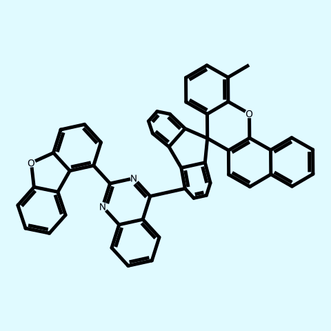 Cc1cccc2c1Oc1c(ccc3ccccc13)C21c2ccccc2-c2c(-c3nc(-c4cccc5oc6ccccc6c45)nc4ccccc34)cccc21